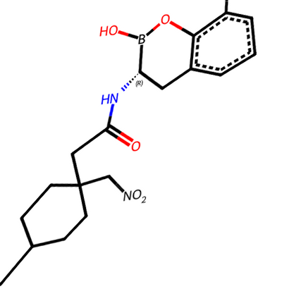 NCC1CCC(CC(=O)N[C@H]2Cc3cccc(C(=O)O)c3OB2O)(C[N+](=O)[O-])CC1